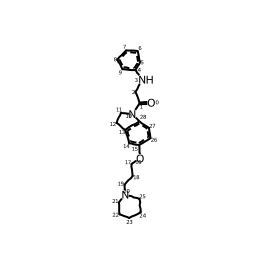 O=C(CNc1ccccc1)N1CCc2cc(OCCCN3CCCCC3)ccc21